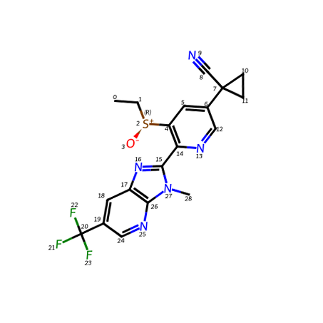 CC[S@+]([O-])c1cc(C2(C#N)CC2)cnc1-c1nc2cc(C(F)(F)F)cnc2n1C